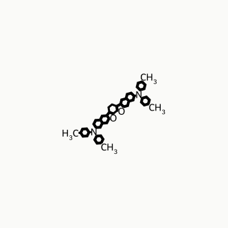 Cc1ccc(N(c2ccc(C)cc2)c2ccc3cc4c5c(oc4cc3c2)-c2oc3cc4cc(N(c6ccc(C)cc6)c6ccc(C)cc6)ccc4cc3c2CC5)cc1